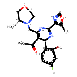 COC(=O)C1=C(CN2CCOC[C@H]2C(=O)O)NC(c2ncoc2C)=N[C@H]1c1ccc(F)cc1Br